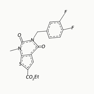 CCOC(=O)c1cc2c(=O)n(Cc3ccc(F)c(F)c3)c(=O)n(C)c2s1